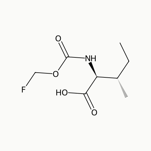 CC[C@H](C)[C@H](NC(=O)OCF)C(=O)O